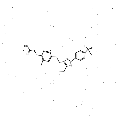 CCc1nc(-c2ccc(C(F)(F)F)cc2)sc1CSc1ccc(CCC(=O)O)c(C)c1